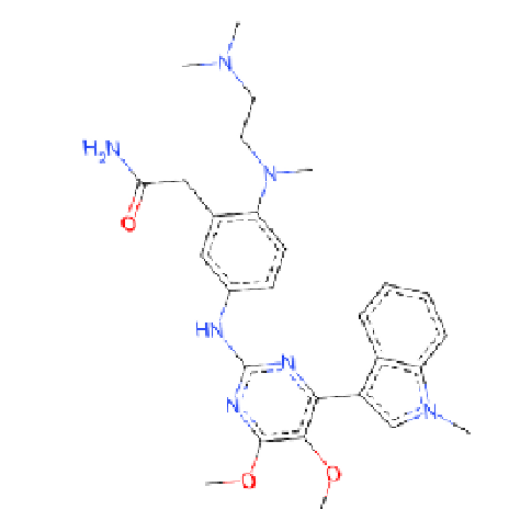 COc1nc(Nc2ccc(N(C)CCN(C)C)c(CC(N)=O)c2)nc(-c2cn(C)c3ccccc23)c1OC